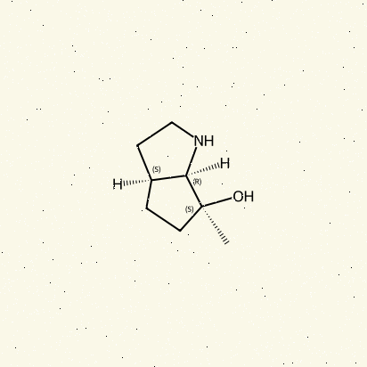 C[C@]1(O)CC[C@H]2CCN[C@H]21